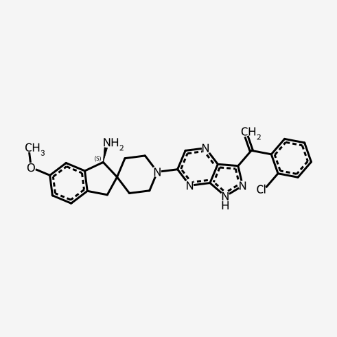 C=C(c1ccccc1Cl)c1n[nH]c2nc(N3CCC4(CC3)Cc3ccc(OC)cc3[C@H]4N)cnc12